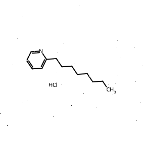 CCCCCCCCc1ccccn1.Cl